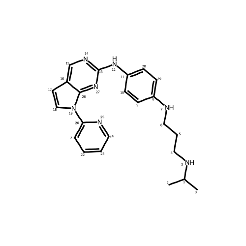 CC(C)NCCCNc1ccc(Nc2ncc3ccn(-c4ccccn4)c3n2)cc1